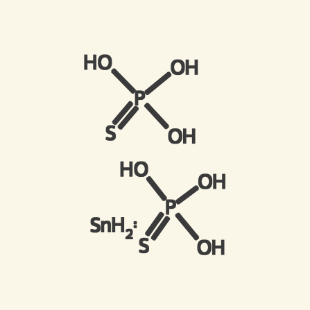 OP(O)(O)=S.OP(O)(O)=S.[SnH2]